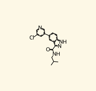 CC(C)CNC(=O)c1n[nH]c2ccc(-c3cncc(Cl)c3)cc12